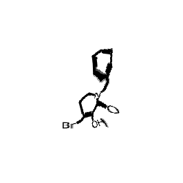 O=C1C(O)=C(Br)CCN1Cc1ccccc1